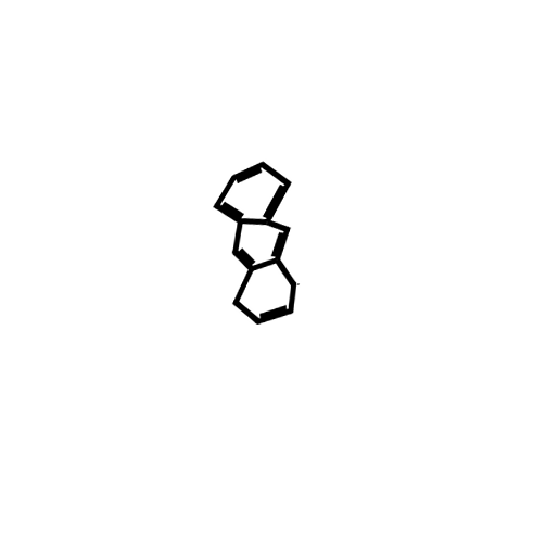 [CH]1C=CCc2cc3ccccc3cc21